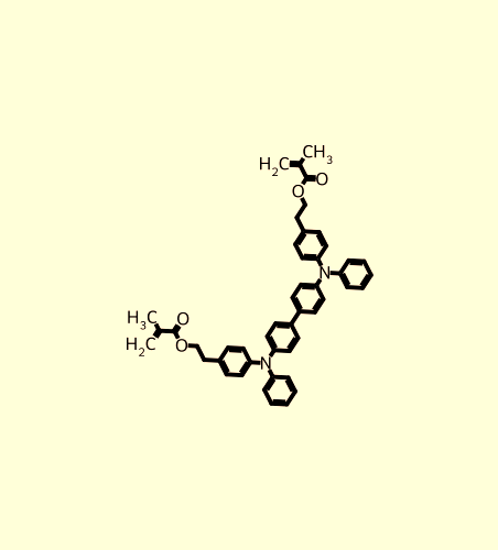 C=C(C)C(=O)OCCc1ccc(N(c2ccccc2)c2ccc(-c3ccc(N(c4ccccc4)c4ccc(CCOC(=O)C(=C)C)cc4)cc3)cc2)cc1